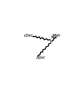 CCCCCCCCCCCCCCCCCCCCN(CCCCCCCCCCCCCCCCCCCC)Cc1c[nH]nn1